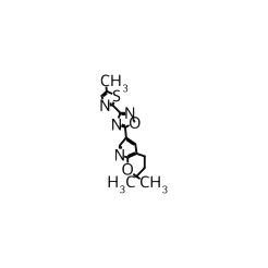 Cc1cnc(-c2noc(-c3cnc4c(c3)CCC(C)(C)O4)n2)s1